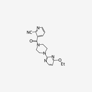 CCOc1ccnc(N2CCN(C(=O)c3cccnc3C#N)CC2)n1